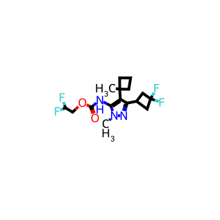 Cn1nc(C2CC(F)(F)C2)c(C2(C)CCC2)c1NC(=O)OCC(F)F